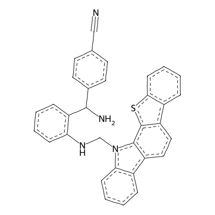 N#Cc1ccc(C(N)c2ccccc2NCn2c3ccccc3c3ccc4c5ccccc5sc4c32)cc1